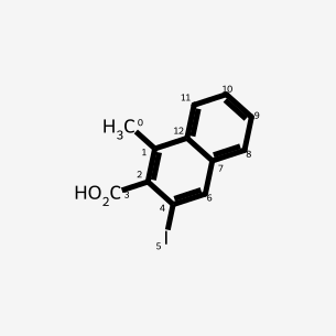 Cc1c(C(=O)O)c(I)cc2ccccc12